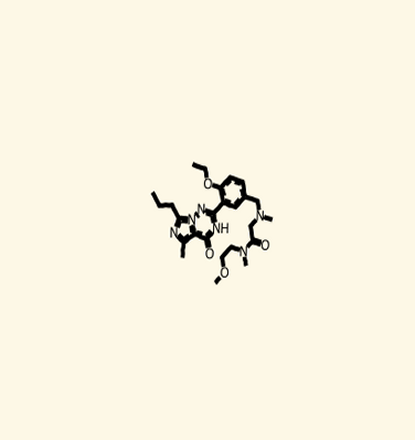 CCCc1nc(C)c2c(=O)[nH]c(-c3cc(CN(C)CC(=O)N(C)CCOC)ccc3OCC)nn12